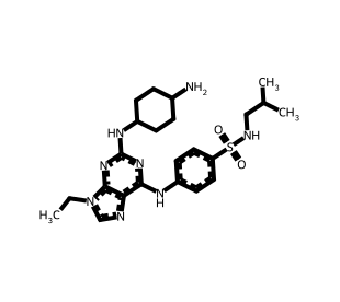 CCn1cnc2c(Nc3ccc(S(=O)(=O)NCC(C)C)cc3)nc(NC3CCC(N)CC3)nc21